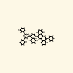 c1ccc(-c2nc(-c3ccccc3)nc(-c3ccc(-c4cc5c6ccccc6c(-c6ccncc6)cc5c5ccccc45)c4ccccc34)n2)cc1